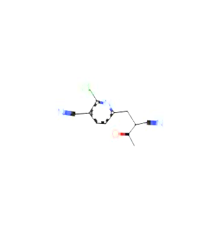 CC(=O)C(C#N)Cc1ccc(C#N)c(Cl)n1